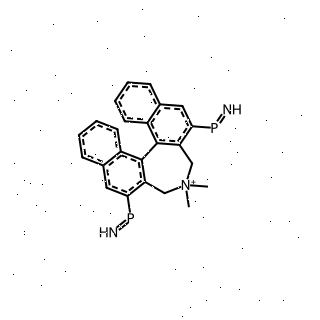 C[N+]1(C)Cc2c(P=N)cc3ccccc3c2-c2c(c(P=N)cc3ccccc23)C1